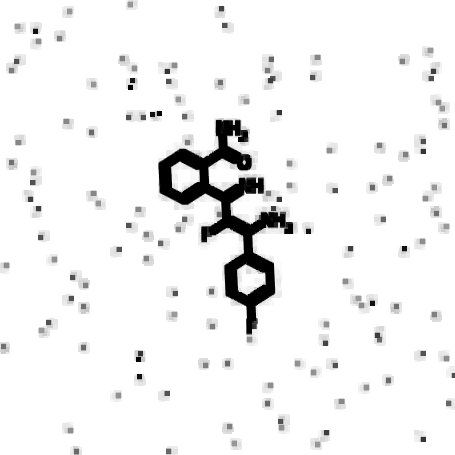 N=C(/C(F)=C(\N)c1ccc(F)cc1)c1ccccc1C(N)=O